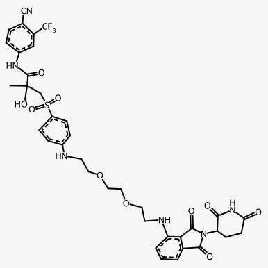 CC(O)(CS(=O)(=O)c1ccc(NCCOCCOCCNc2cccc3c2C(=O)N(C2CCC(=O)NC2=O)C3=O)cc1)C(=O)Nc1ccc(C#N)c(C(F)(F)F)c1